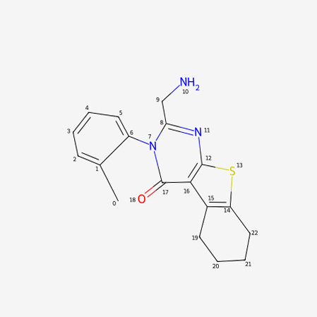 Cc1ccccc1-n1c(CN)nc2sc3c(c2c1=O)CCCC3